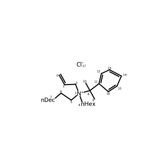 C=CC[N+](CCCCCC)(CCCCCCCCCCCC)C(C)(C)c1ccccc1.[Cl-]